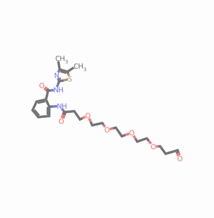 Cc1nc(NC(=O)c2ccccc2NC(=O)CCOCCOCCOCCOCCC=O)sc1C